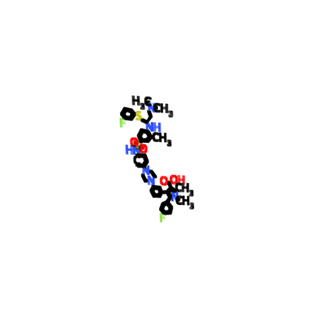 Cc1cc(S(=O)(=O)Nc2ccc(N3CCN(c4cccc(-c5c(C(=O)O)c(C)n(C)c5-c5ccc(F)cc5)c4)CC3)cc2)ccc1N[C@H](CCN(C)C)CSc1cccc(F)c1